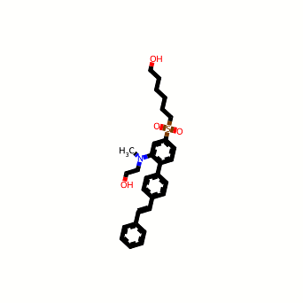 CN(CCO)c1cc(S(=O)(=O)CCCCCCO)ccc1-c1ccc(C=Cc2ccccc2)cc1